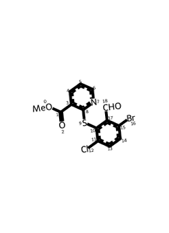 COC(=O)c1cccnc1Sc1c(Cl)ccc(Br)c1C=O